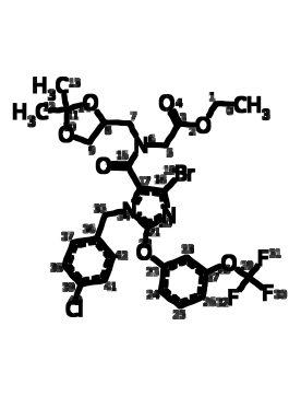 CCOC(=O)CN(CC1COC(C)(C)O1)C(=O)c1c(Br)nc(Oc2cccc(OC(F)(F)F)c2)n1Cc1ccc(Cl)cc1